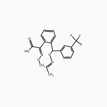 CC=NOC(c1cccc(C(F)(F)F)c1)c1ccccc1C(=NOC)C(=O)O